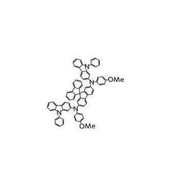 COc1ccc(N(c2ccc3c(c2)C2(c4ccccc4-c4ccccc42)c2cc(N(c4ccc(OC)cc4)c4ccc5c6ccccc6n(-c6ccccc6)c5c4)ccc2-3)c2ccc3c4ccccc4n(-c4ccccc4)c3c2)cc1